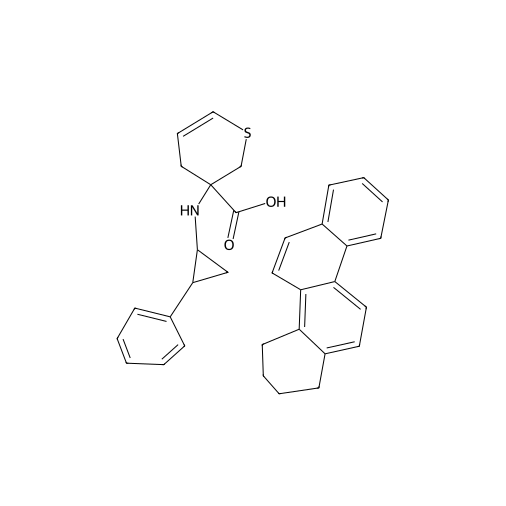 O=C(O)C1(NC2CC2c2ccccc2)CC=CSC1.c1ccc2c(c1)ccc1c3c(ccc12)CCCC3